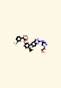 Cc1cccc(C(C)C(=O)Nc2ccc(C3CC3)c(-c3ccc4nc(Nc5cnn(CCO)c5)ncc4c3)c2)c1